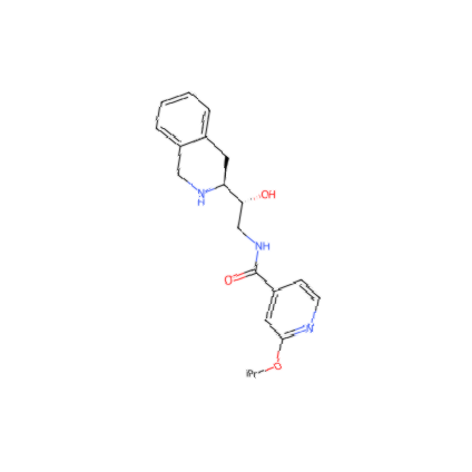 CC(C)Oc1cc(C(=O)NC[C@@H](O)[C@@H]2Cc3ccccc3CN2)ccn1